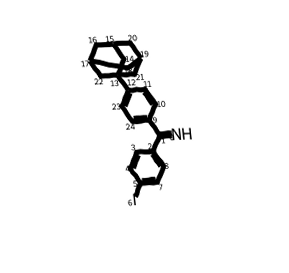 N=C(c1ccc(I)cc1)c1ccc(C23CC4CC(CC(C4)C2)C3)cc1